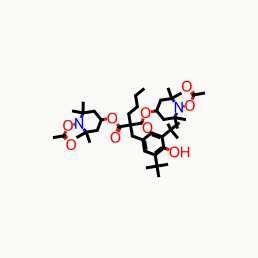 CCCCC(Cc1cc(C(C)(C)C)c(O)c(C(C)(C)C)c1)(C(=O)OC1CC(C)(C)N(OC(C)=O)C(C)(C)C1)C(=O)OC1CC(C)(C)N(OC(C)=O)C(C)(C)C1